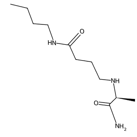 CCCCNC(=O)CCCN[C@@H](CC)C(N)=O